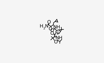 CC(C)C(=O)N[C@H](C(=O)N1CC2C(C1C(=O)NC(CC1CC1)C(=O)C(N)=O)C2(C)C)C(C)(C)C